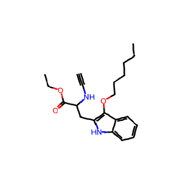 C#CNC(Cc1[nH]c2ccccc2c1OCCCCCC)C(=O)OCC